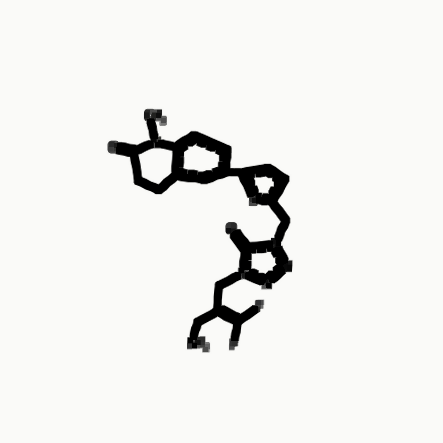 CN1C(=O)CCc2cc(-c3ccc(Cn4nnn(CC(CN)=C(F)F)c4=O)s3)ccc21